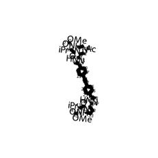 COC(=O)N[C@H](C(=O)N1CCN(C(C)=O)C[C@H]1c1nc(-c2ccc(C#Cc3ccc(-c4cnc([C@@H]5CCCN5C(=O)[C@@H](NC(=O)OC)C(C)C)[nH]4)cc3)cc2)c[nH]1)C(C)C